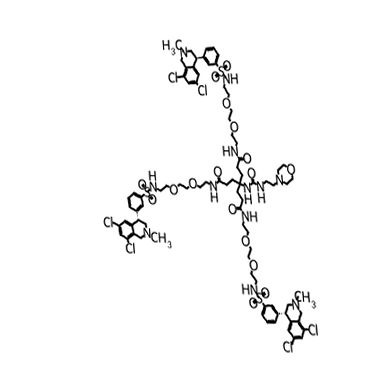 CN1Cc2c(Cl)cc(Cl)cc2[C@H](c2cccc(S(=O)(=O)NCCOCCOCCNC(=O)CCC(CCC(=O)NCCOCCOCCNS(=O)(=O)c3cccc([C@@H]4CN(C)Cc5c(Cl)cc(Cl)cc54)c3)(CCC(=O)NCCOCCOCCNS(=O)(=O)c3cccc([C@@H]4CN(C)Cc5c(Cl)cc(Cl)cc54)c3)NC(=O)NCCN3CCOCC3)c2)C1